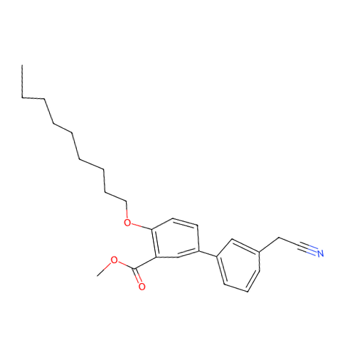 CCCCCCCCCOc1ccc(-c2cccc(CC#N)c2)cc1C(=O)OC